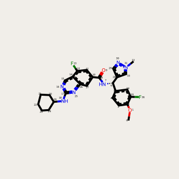 COc1ccc([C@H](NC(=O)c2cc(F)c3cnc(NC4CCCCC4)nc3c2)c2cnn(C)c2)cc1F